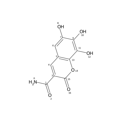 NC(=O)c1cc2cc(O)c(O)c(O)c2oc1=O